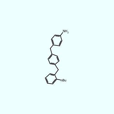 CCCCc1ccccc1Cc1ccc(Cc2ccc(N)cc2)cc1